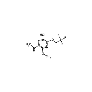 CNc1ccc(OCC(F)(F)F)nc1OC.Cl